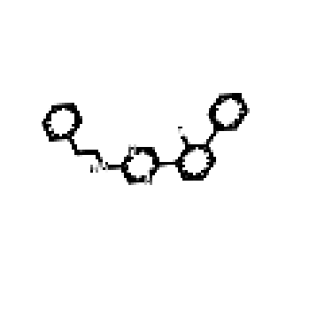 Fc1c(-c2ccccc2)cccc1-c1cnc(NCCc2ccccc2)cn1